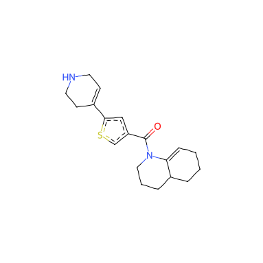 O=C(c1csc(C2=CCNCC2)c1)N1CCCC2CCCC=C21